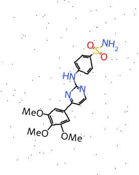 COc1cc(-c2ccnc(Nc3ccc(S(N)(=O)=O)cc3)n2)cc(OC)c1OC